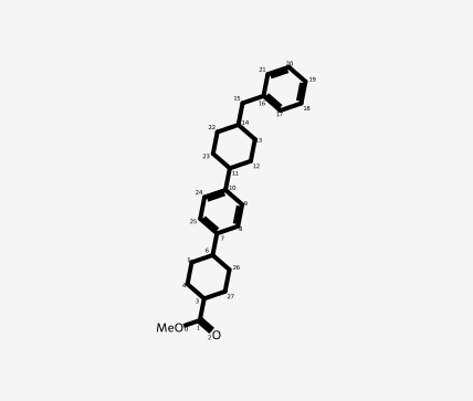 COC(=O)C1CCC(c2ccc(C3CCC(Cc4ccccc4)CC3)cc2)CC1